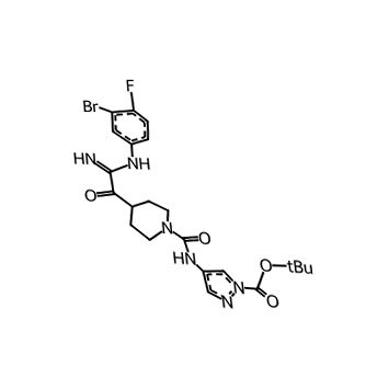 CC(C)(C)OC(=O)n1cc(NC(=O)N2CCC(C(=O)C(=N)Nc3ccc(F)c(Br)c3)CC2)cn1